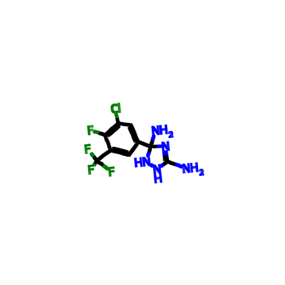 NC1=NC(N)(c2cc(Cl)c(F)c(C(F)(F)F)c2)NN1